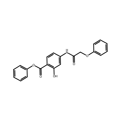 O=C(COc1ccccc1)Nc1ccc(C(=O)Oc2ccccc2)c(O)c1